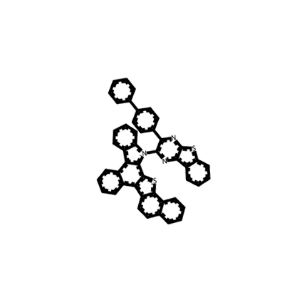 c1ccc(-c2ccc(-c3nc4sc5ccccc5c4nc3-n3c4ccccc4c4c5ccccc5c5c6ccc7ccccc7c6sc5c43)cc2)cc1